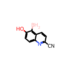 Bc1c(O)ccc2nc(C#N)ccc12